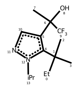 CCC(C)(C)c1c(C(C)(O)C(F)(F)F)cnn1C(C)C